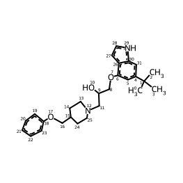 CC(C)(C)c1cc(OCC(O)CN2CCC(COc3ccccc3)CC2)c2cc[nH]c2c1